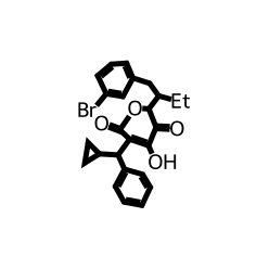 CCC(Cc1cccc(Br)c1)C1OC(=O)C(C(c2ccccc2)C2CC2)=C(O)C1=O